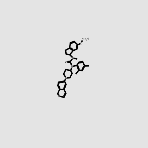 Cc1ccc(N(C(=O)N(C)C2CCc3ccc(OC(=O)O)cc32)C2CCN(c3ccc4cnccc4c3)CC2)c(C)c1